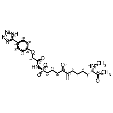 CN[C@@H](CCCCNC(=O)CCCS(=O)(=O)NC(=O)COc1ccc(-c2nnn[nH]2)cc1)C(C)=O